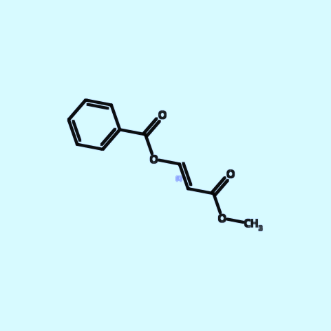 COC(=O)/C=C/OC(=O)c1ccccc1